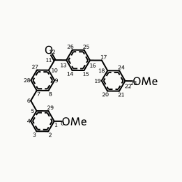 COc1cccc(Cc2ccc(C(=O)c3ccc(Cc4cccc(OC)c4)cc3)cc2)c1